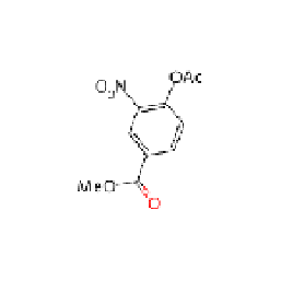 [CH2]C(=O)Oc1ccc(C(=O)OC)cc1[N+](=O)[O-]